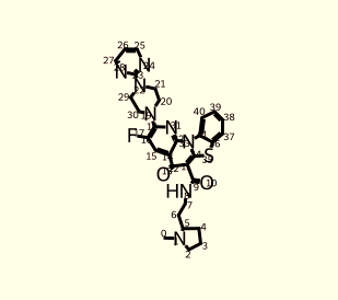 CN1CCCC1CCNC(=O)c1c(=O)c2cc(F)c(N3CCN(c4ncccn4)CC3)nc2n2c1sc1ccccc12